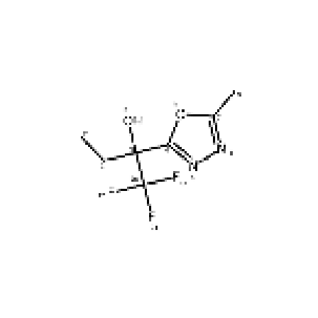 CCC(O)(c1nnc(C)o1)C(F)(F)F